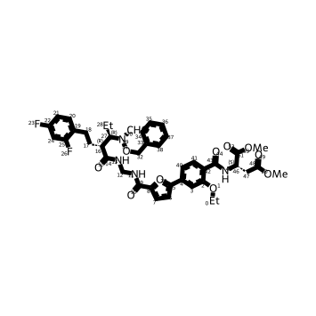 CCOc1cc(-c2ccc(C(=O)NCNC(=O)[C@H](CCc3ccc(F)cc3F)[C@@H](CC)N(C=O)OCc3ccccc3)o2)ccc1C(=O)N[C@@H](CC(=O)OC)C(=O)OC